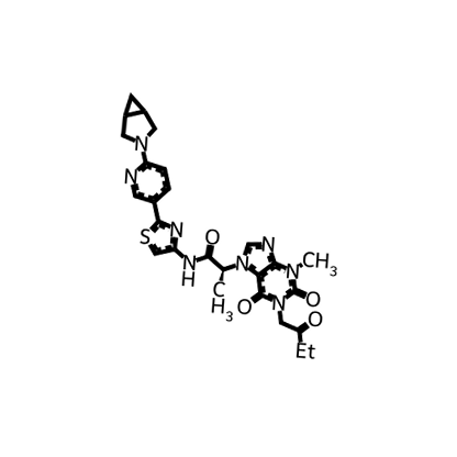 CCC(=O)Cn1c(=O)c2c(ncn2[C@@H](C)C(=O)Nc2csc(-c3ccc(N4CC5CC5C4)nc3)n2)n(C)c1=O